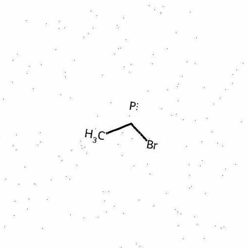 CCBr.[P]